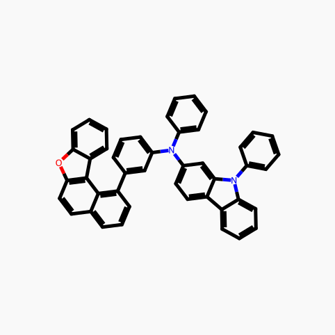 c1ccc(N(c2cccc(-c3cccc4ccc5oc6ccccc6c5c34)c2)c2ccc3c4ccccc4n(-c4ccccc4)c3c2)cc1